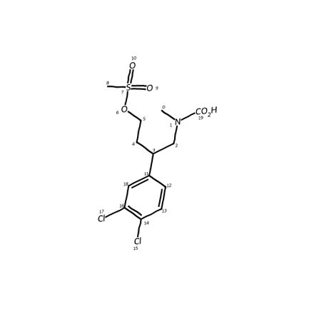 CN(CC(CCOS(C)(=O)=O)c1ccc(Cl)c(Cl)c1)C(=O)O